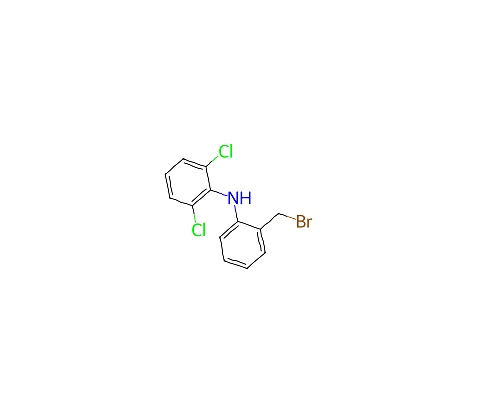 Clc1cccc(Cl)c1Nc1ccccc1CBr